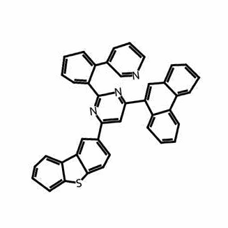 c1cncc(-c2ccccc2-c2nc(-c3ccc4sc5ccccc5c4c3)cc(-c3cc4ccccc4c4ccccc34)n2)c1